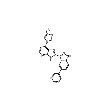 Cc1cn(-c2ccnc3[nH]c(-c4n[nH]c5ccc(-c6cnccn6)cc45)nc23)cn1